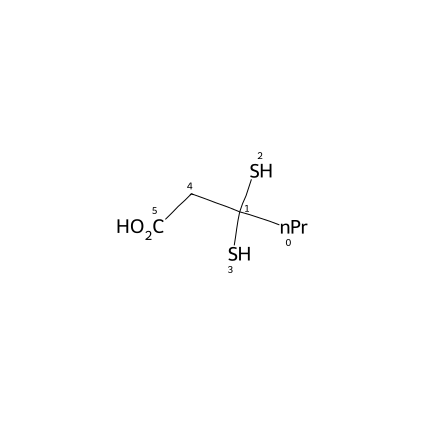 CCCC(S)(S)CC(=O)O